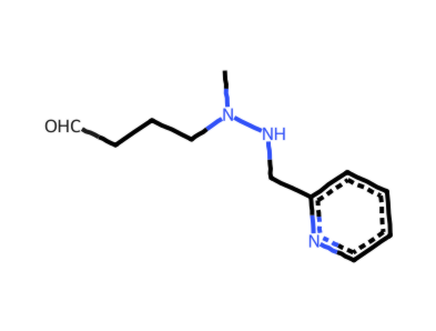 CN(CCCC=O)NCc1ccccn1